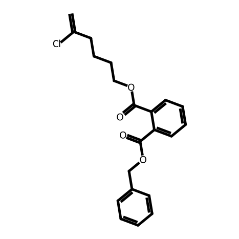 C=C(Cl)CCCCOC(=O)c1ccccc1C(=O)OCc1ccccc1